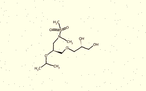 CC(C)O[C@H](COC[C@H](O)CO)CN(C)S(C)(=O)=O